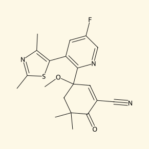 COC1(c2ncc(F)cc2-c2sc(C)nc2C)C=C(C#N)C(=O)C(C)(C)C1